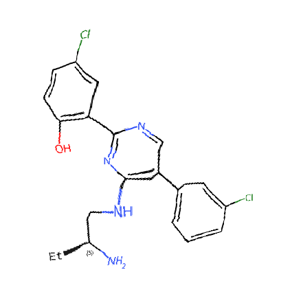 CC[C@H](N)CNc1nc(-c2cc(Cl)ccc2O)ncc1-c1cccc(Cl)c1